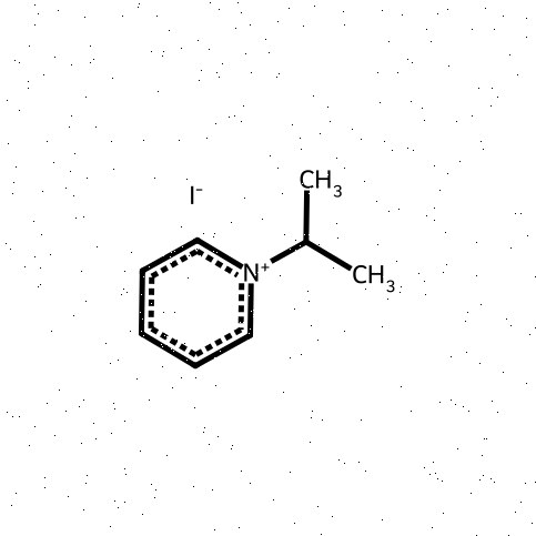 CC(C)[n+]1ccccc1.[I-]